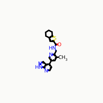 Cc1cc(-c2ccnc3[nH]ncc23)cnc1CNC(=O)c1cc2c(s1)CCCC2